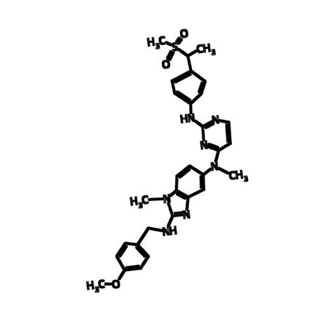 COc1ccc(CNc2nc3cc(N(C)c4ccnc(Nc5ccc(C(C)S(C)(=O)=O)cc5)n4)ccc3n2C)cc1